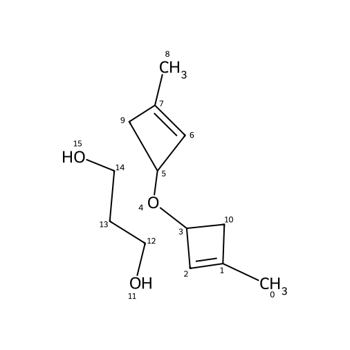 CC1=CC(OC2C=C(C)C2)C1.OCCCO